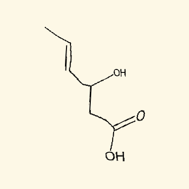 C/C=C/C(O)CC(=O)O